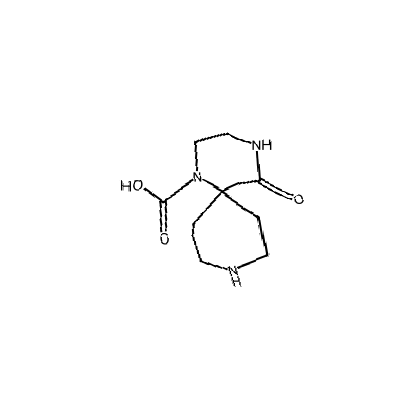 O=C(O)N1CCNC(=O)C12CCNCC2